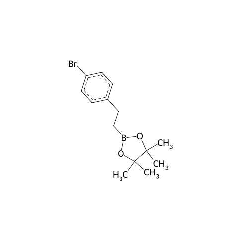 CC1(C)OB(CCc2ccc(Br)cc2)OC1(C)C